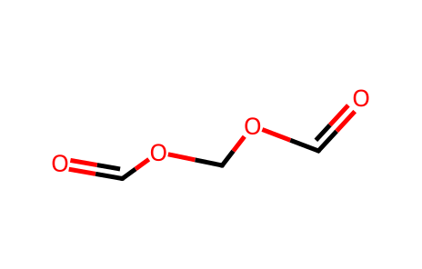 O=COCOC=O